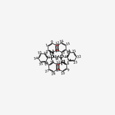 c1ccc([PH]([Ir][PH](c2ccccc2)(c2ccccc2)c2ccccc2)(c2ccccc2)c2ccccc2)cc1